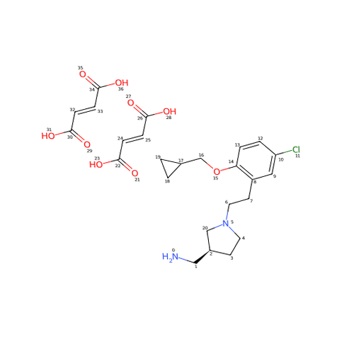 NC[C@@H]1CCN(CCc2cc(Cl)ccc2OCC2CC2)C1.O=C(O)/C=C/C(=O)O.O=C(O)/C=C/C(=O)O